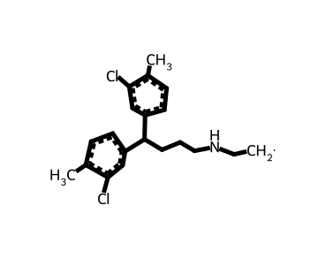 [CH2]CNCCCC(c1ccc(C)c(Cl)c1)c1ccc(C)c(Cl)c1